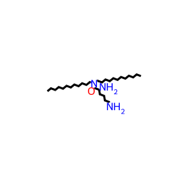 CCCCCCCCCCCCN(CCCCCCCCCCCC)C(=O)C(N)CCCCN